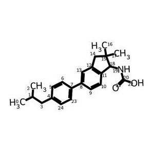 CC(C)Cc1ccc(-c2ccc3c(c2)CC(C)(C)C3NC(=O)O)cc1